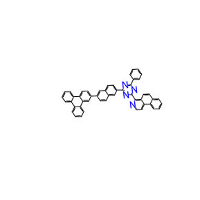 c1ccc(-c2nc(-c3ccc4cc(-c5ccc6c7ccccc7c7ccccc7c6c5)ccc4c3)nc(-c3nccc4c3ccc3ccccc34)n2)cc1